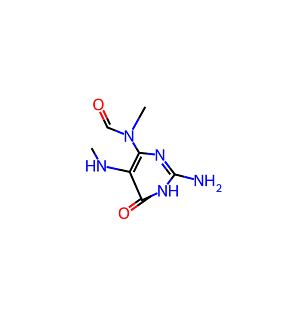 CNc1c(N(C)C=O)nc(N)[nH]c1=O